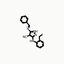 N#Cc1c(Nc2ccccc2CI)n[nH]c1/N=C/c1ccccc1